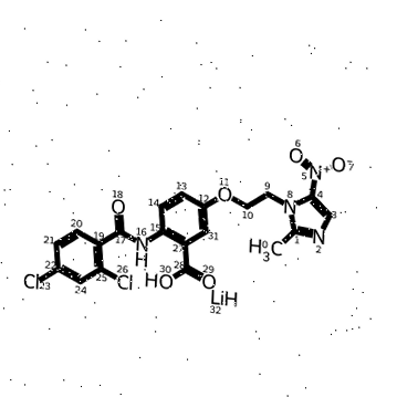 Cc1ncc([N+](=O)[O-])n1CCOc1ccc(NC(=O)c2ccc(Cl)cc2Cl)c(C(=O)O)c1.[LiH]